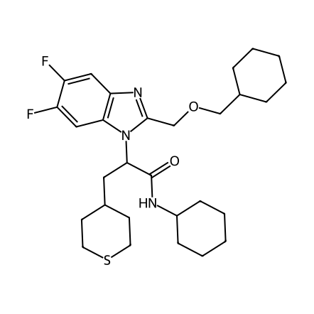 O=C(NC1CCCCC1)C(CC1CCSCC1)n1c(COCC2CCCCC2)nc2cc(F)c(F)cc21